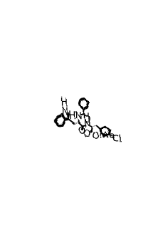 COC(=O)[C@@H](Cc1ccc(Cl)cc1)NC(=O)[C@H](Cc1c[nH]c2ccccc12)NC(=O)c1ccccc1